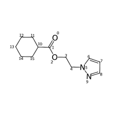 O=C(OCCn1cccn1)C1CCCCC1